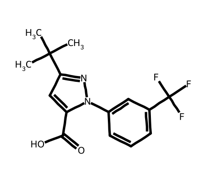 CC(C)(C)c1cc(C(=O)O)n(-c2cccc(C(F)(F)F)c2)n1